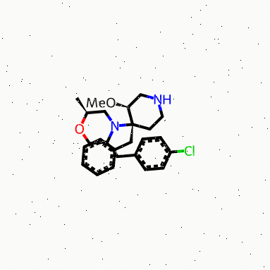 CO[C@H]1CNCC[C@]1(Cc1ccccc1)N1C[C@H](C)OC[C@@H]1Cc1ccc(Cl)cc1